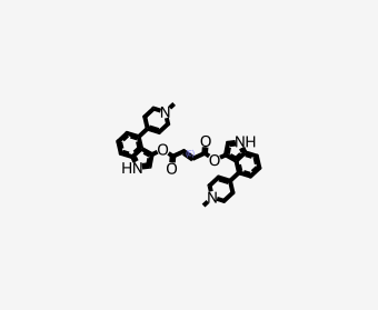 CN1CC=C(c2cccc3[nH]cc(OC(=O)/C=C/C(=O)Oc4c[nH]c5cccc(C6=CCN(C)CC6)c45)c23)CC1